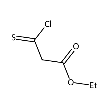 CCOC(=O)CC(=S)Cl